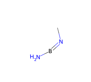 CN=BN